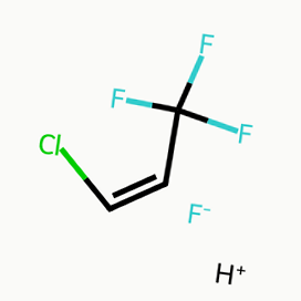 FC(F)(F)/C=C\Cl.[F-].[H+]